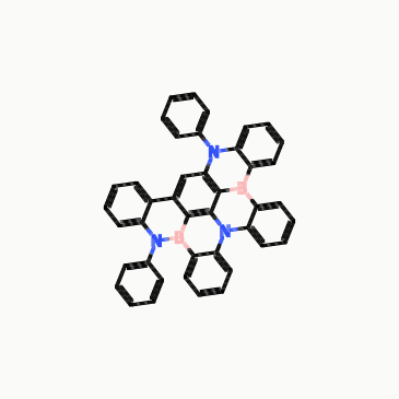 c1ccc(N2B3c4ccccc4N4c5ccccc5B5c6ccccc6N(c6ccccc6)c6cc(c3c4c65)-c3ccccc32)cc1